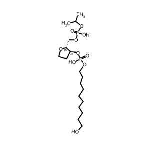 CC(C)OP(=O)(O)OC[C@H]1OCC[C@@H]1OP(=O)(O)OCCCCCCCCCCO